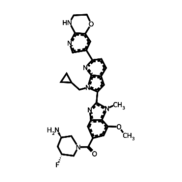 COc1cc(C(=O)N2C[C@H](N)C[C@@H](F)C2)cc2nc(-c3cc4ccc(-c5cnc6c(c5)OCCN6)nc4n3CC3CC3)n(C)c12